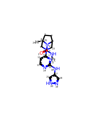 CCNC(=O)N1C2CC[C@H]1CN(c1ccnc(Nc3cn[nH]c3)n1)C2